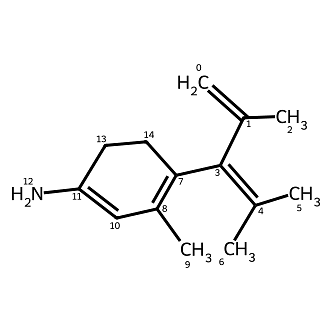 C=C(C)C(=C(C)C)C1=C(C)C=C(N)CC1